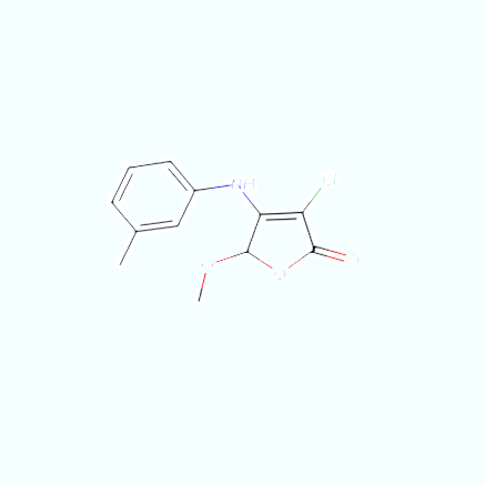 COC1OC(=O)C(Cl)=C1Nc1cccc(C)c1